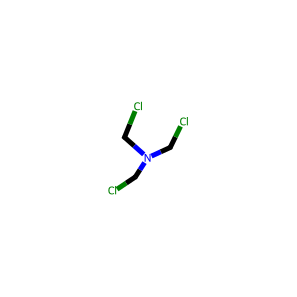 ClCN(CCl)CCl